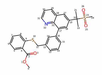 COC(=O)c1ccccc1SCc1cccc(-c2cc(C(C)(C)S(C)(=O)=O)cc3cccnc23)c1